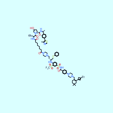 CCC12CC(C3=C(CN4CCN(c5ccc(C(=O)NS(=O)(=O)c6ccc(N[C@H](CCN7CCN(C(=O)CCCCCCC(=O)N[C@H](C(=O)N8C[C@H](O)C[C@H]8C(=O)N[C@@H](C)c8ccc(-c9scnc9C)cc8)C(C)(C)C)CC7)CSc7ccccc7)c(S(=O)(=O)C(F)(F)F)c6)cc5)CC4)CCC(C)(C)C3)(C1)C2